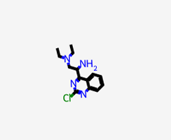 CCN(CC)CC(N)c1nc(Cl)nc2ccccc12